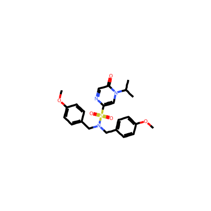 COc1ccc(CN(Cc2ccc(OC)cc2)S(=O)(=O)c2cn(C(C)C)c(=O)cn2)cc1